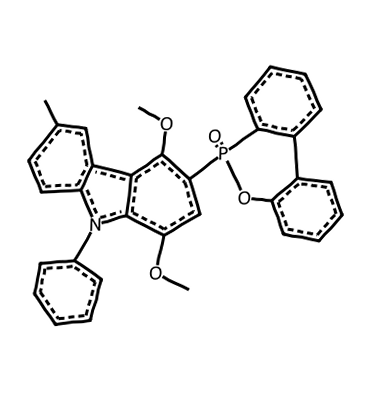 COc1c(P2(=O)Oc3ccccc3-c3ccccc32)cc(OC)c2c1c1cc(C)ccc1n2-c1ccccc1